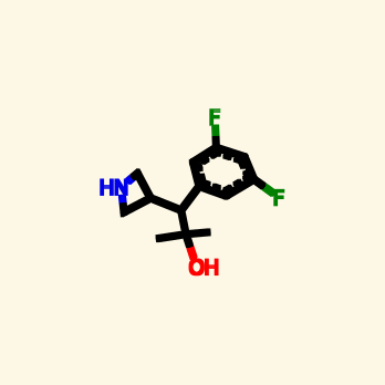 CC(C)(O)C(c1cc(F)cc(F)c1)C1CNC1